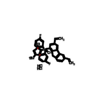 C=Cc1ccc2c(c1)-c1cc(C=C)c[c]([Zr](=[CH2])([C]3=CC(C(C)(C)C)=CC3CC)([c]3cccc(F)c3)[c]3cccc(F)c3)c1C2.Cl.Cl